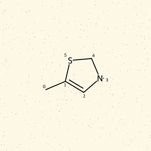 CC1=C[N]CS1